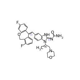 C[C@H](CN1CCOCC1)n1/c(=N/C(N)=O)[nH]c2cc(/C=C3/c4ccc(F)cc4OCc4c(F)cccc43)ccc21